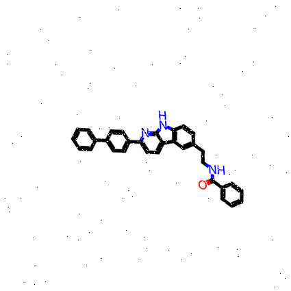 O=C(NCCc1ccc2[nH]c3nc(-c4ccc(-c5ccccc5)cc4)ccc3c2c1)c1ccccc1